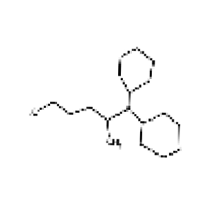 CCCCC(C)P(C1CCCCC1)C1CCCCC1